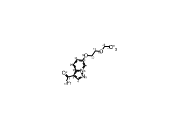 CC(C)C(=O)c1cnn2cc(OCCOCC(F)(F)F)ccc12